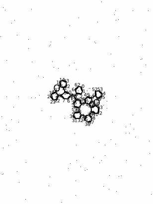 c1ccc(N(c2ccc3c(c2)-c2ccccc2Oc2ccccc2-3)c2ccc3c4ccccc4c4ccccc4c4ccccc4c4c(ccc5c6ccccc6oc54)c3c2)cc1